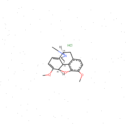 COC1=CC=C2[C@H]3Cc4ccc(OC)c5c4[C@@]2(CCN3C)[C@H]1O5.Cl